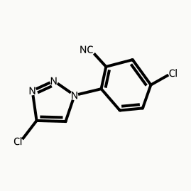 N#Cc1cc(Cl)ccc1-n1cc(Cl)nn1